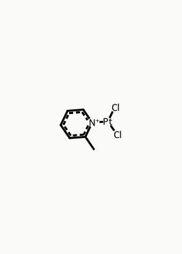 Cc1cccc[n+]1[Pt]([Cl])[Cl]